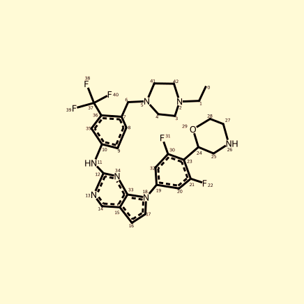 CCN1CCN(Cc2ccc(Nc3ncc4ccn(-c5cc(F)c(C6CNCCO6)c(F)c5)c4n3)cc2C(F)(F)F)CC1